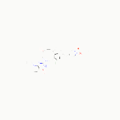 CC1CCC(=O)CCN(c2nc3c(c(=O)[nH]2)CCCN3C)CCc2c(F)cc(CCC3CCN(S(C)(=O)=O)CC3)cc21